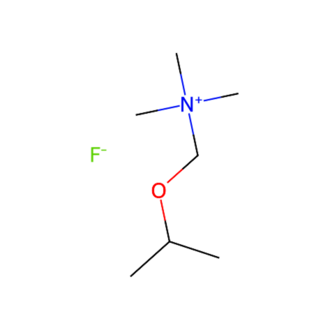 CC(C)OC[N+](C)(C)C.[F-]